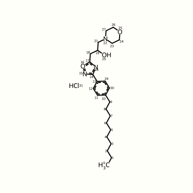 CCCCCCCCCCc1ccc(-c2noc(CC(O)CN3CCOCC3)n2)cc1.Cl